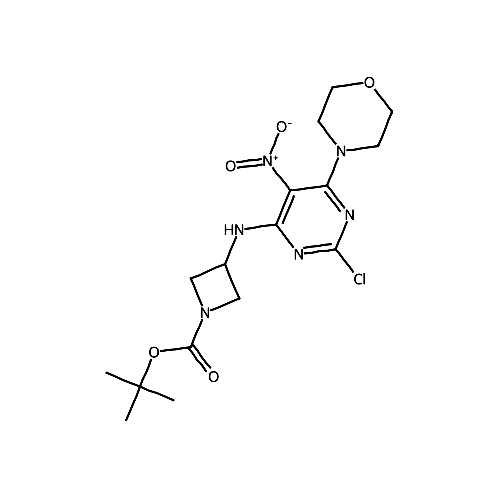 CC(C)(C)OC(=O)N1CC(Nc2nc(Cl)nc(N3CCOCC3)c2[N+](=O)[O-])C1